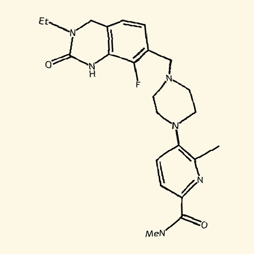 CCN1Cc2ccc(CN3CCN(c4ccc(C(=O)NC)nc4C)CC3)c(F)c2NC1=O